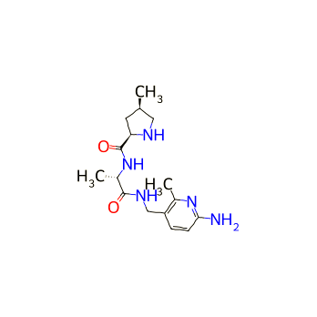 Cc1nc(N)ccc1CNC(=O)[C@H](C)NC(=O)[C@H]1C[C@@H](C)CN1